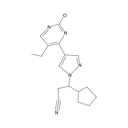 CCc1cnc(Cl)nc1-c1cnn(C(CC#N)C2CCCC2)c1